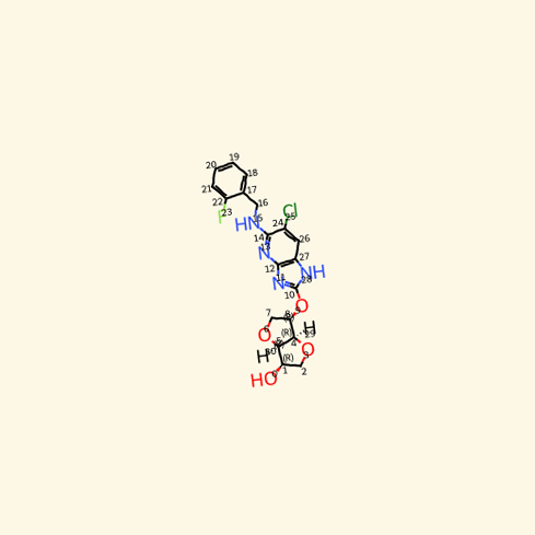 O[C@@H]1CO[C@H]2[C@@H]1OC[C@H]2Oc1nc2nc(NCc3ccccc3F)c(Cl)cc2[nH]1